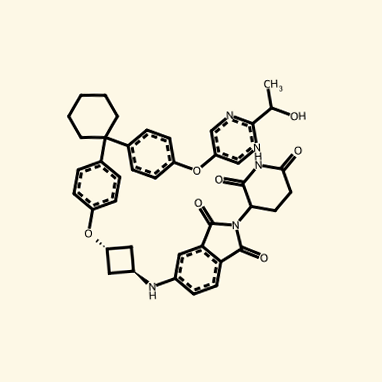 CC(O)c1ncc(Oc2ccc(C3(c4ccc(O[C@H]5C[C@H](Nc6ccc7c(c6)C(=O)N(C6CCC(=O)NC6=O)C7=O)C5)cc4)CCCCC3)cc2)cn1